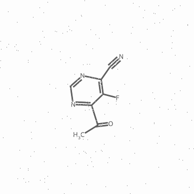 CC(=O)c1ncnc(C#N)c1F